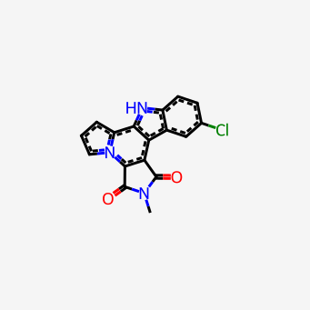 CN1C(=O)c2c(n3cccc3c3[nH]c4ccc(Cl)cc4c23)C1=O